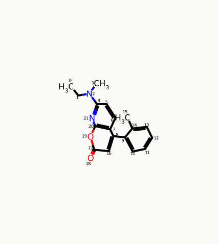 CCN(C)c1ccc2c(-c3ccccc3C)cc(=O)oc2n1